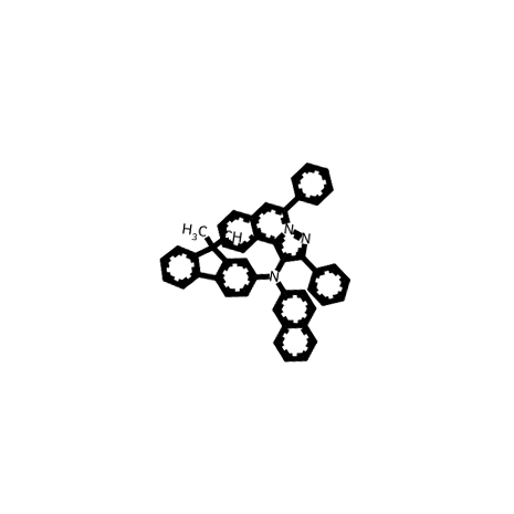 CC1(C)c2ccccc2-c2ccc(N(c3ccc4ccccc4c3)c3c(-c4ccccc4)nn4c(-c5ccccc5)cc5ccccc5c34)cc21